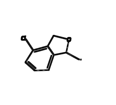 [CH2]C1OCc2c(Cl)cccc21